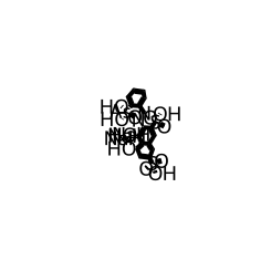 O=S(=O)(O)c1cc(O)c2c(O)c(/N=N/c3ccccc3[As](=O)(O)O)c(S(=O)(=O)O)cc2c1.[NaH].[NaH].[NaH]